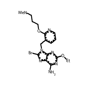 CCOc1nc(N)c2nc(Br)n(Cc3cccnc3OCCCNC)c2n1